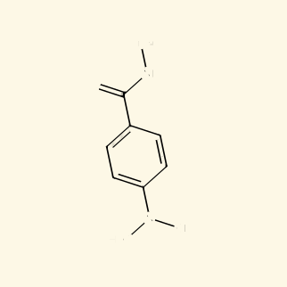 CCCCNC(=O)c1ccc(N(C)C)cc1